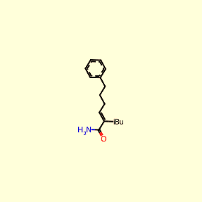 CCC(C)/C(=C\CCCc1ccccc1)C(N)=O